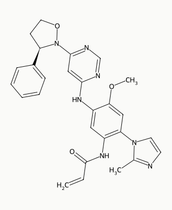 C=CC(=O)Nc1cc(Nc2cc(N3OCC[C@@H]3c3ccccc3)ncn2)c(OC)cc1-n1ccnc1C